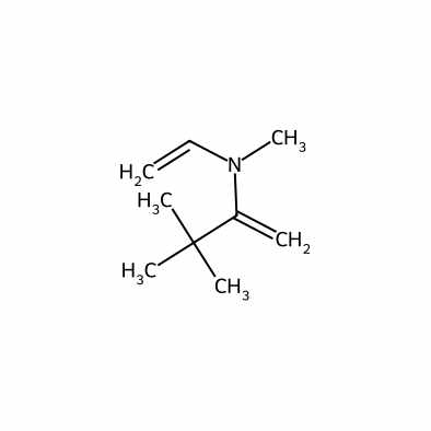 C=CN(C)C(=C)C(C)(C)C